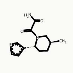 C[C@H]1CC[C@H](c2ccsc2)N(C(=O)C(N)=O)C1